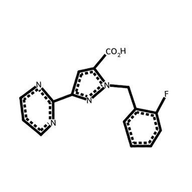 O=C(O)c1cc(-c2ncccn2)nn1Cc1ccccc1F